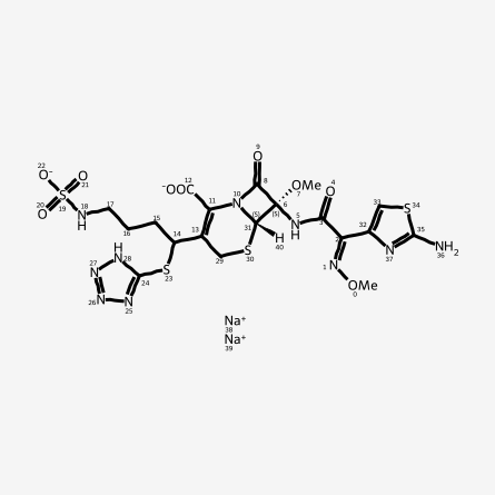 CON=C(C(=O)N[C@]1(OC)C(=O)N2C(C(=O)[O-])=C(C(CCCNS(=O)(=O)[O-])Sc3nnn[nH]3)CS[C@H]21)c1csc(N)n1.[Na+].[Na+]